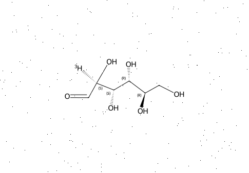 [3H][C@@](O)(C=O)[C@@H](O)[C@H](O)[C@H](O)CO